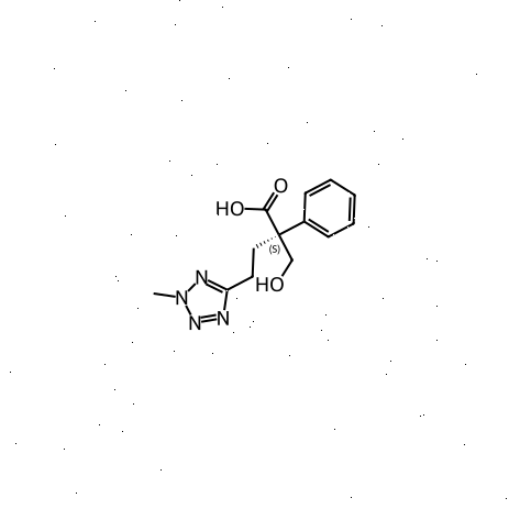 Cn1nnc(CC[C@](CO)(C(=O)O)c2ccccc2)n1